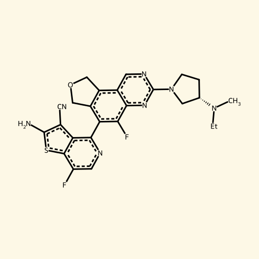 CCN(C)[C@H]1CCN(c2ncc3c4c(c(-c5ncc(F)c6sc(N)c(C#N)c56)c(F)c3n2)COC4)C1